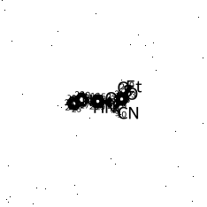 CCS(=O)(=O)c1ccc([C@H](CC#N)NC(=O)c2ccc(N3CCc4ccccc4C3)cc2)cc1